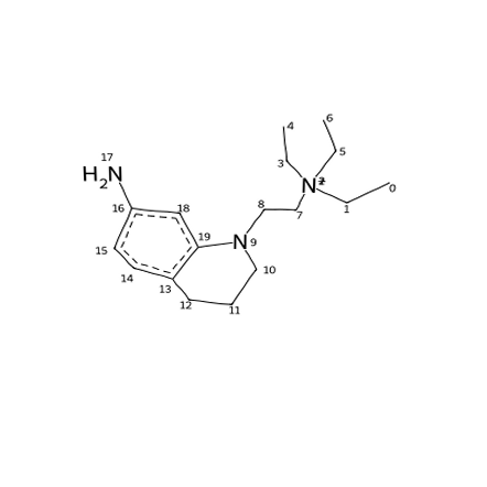 CC[N+](CC)(CC)CCN1CCCc2ccc(N)cc21